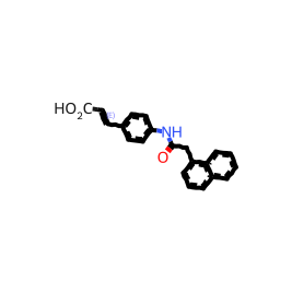 O=C(O)/C=C/c1ccc(NC(=O)Cc2cccc3ccccc23)cc1